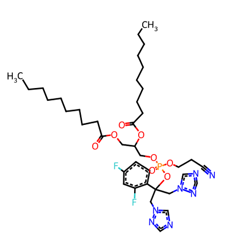 CCCCCCCCCC(=O)OCC(COP(=O)(OCCC#N)OC(Cn1cncn1)(Cn1cncn1)c1ccc(F)cc1F)OC(=O)CCCCCCCCC